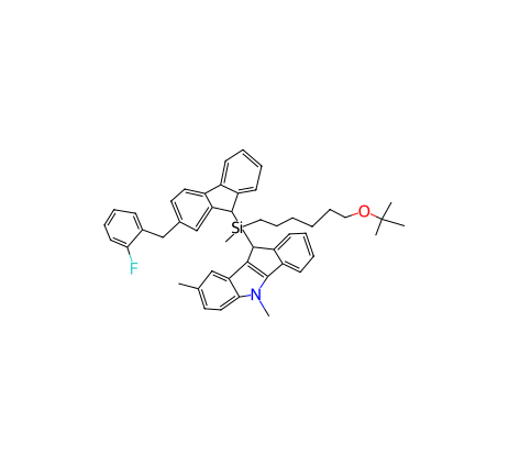 Cc1ccc2c(c1)c1c(n2C)-c2ccccc2C1[Si](C)(CCCCCCOC(C)(C)C)C1c2ccccc2-c2ccc(Cc3ccccc3F)cc21